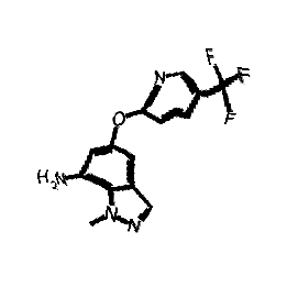 Cn1ncc2cc(Oc3ccc(C(F)(F)F)cn3)cc(N)c21